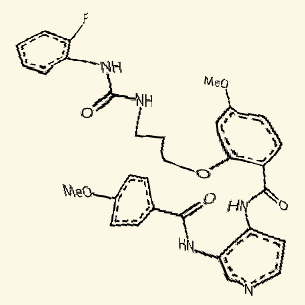 COc1ccc(C(=O)Nc2cnccc2NC(=O)c2ccc(OC)cc2OCCCNC(=O)Nc2ccccc2F)cc1